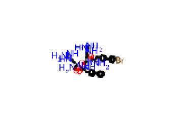 N=C(N)NCCC[C@H](NC(=O)[C@H](Cc1ccc(-c2ccccc2)cc1)NC(=O)[C@H](CCCNC(=N)N)NC(=O)[C@@H](N)Cc1ccc(-c2ccc(Br)cc2)cc1)C(N)=O